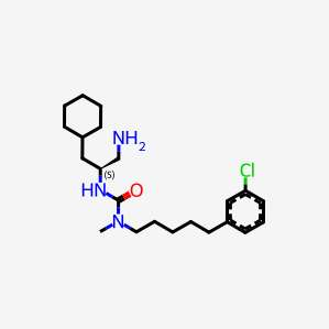 CN(CCCCCc1cccc(Cl)c1)C(=O)N[C@H](CN)CC1CCCCC1